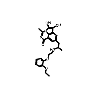 CCOc1ccccc1OCCNC(C)Cc1cc2c(O)c(O)n3c(C)nc(=O)c(c1)c23